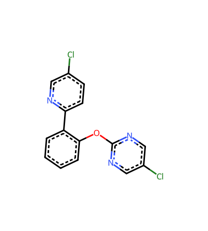 Clc1ccc(-c2ccccc2Oc2ncc(Cl)cn2)nc1